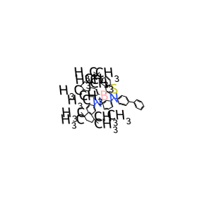 Cc1cc2c3c(c1)N(c1ccc(-c4ccccc4)cc1)c1sc4ccc(C(C)(C)C)cc4c1B3c1cc3c(cc1N2c1cc2c(cc1C)C(C)(C)CCC2(C)C)C(C)(C)CCC3(C)C